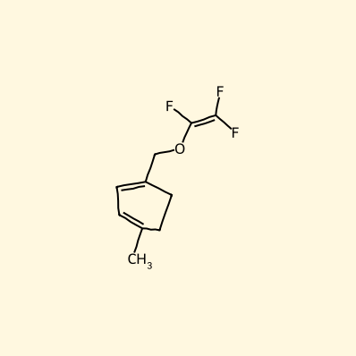 CC1=CC=C(COC(F)=C(F)F)CC1